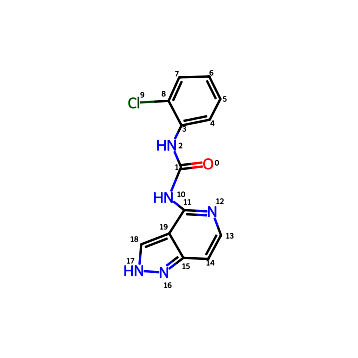 O=C(Nc1ccccc1Cl)Nc1nccc2n[nH]cc12